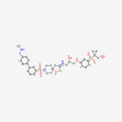 CCNCc1ccc(-c2cccc(S(=O)(=O)N3CCC4(CC3)C[C@@H](NCC(O)COc3cccc(S(=O)(=O)C5(CO)CC5)c3)CO4)c2)cc1